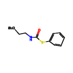 CC(C)COCCNC(=O)Sc1ccccc1